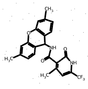 Cc1ccc2c(c1)Oc1cc(C)ccc1C2NC(=O)c1c(C)cc(C(F)(F)F)[nH]c1=O